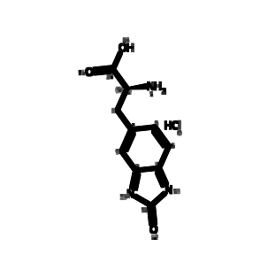 Cl.N[C@@H](Cc1ccc2c(c1)=NC(=O)N=2)C(=O)O